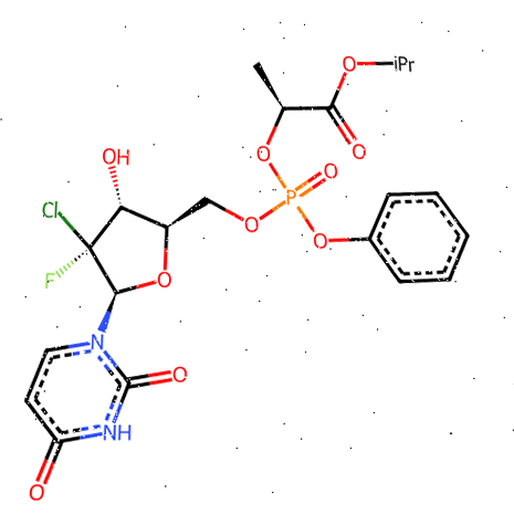 CC(C)OC(=O)[C@H](C)OP(=O)(OC[C@H]1O[C@@H](n2ccc(=O)[nH]c2=O)[C@@](F)(Cl)[C@@H]1O)Oc1ccccc1